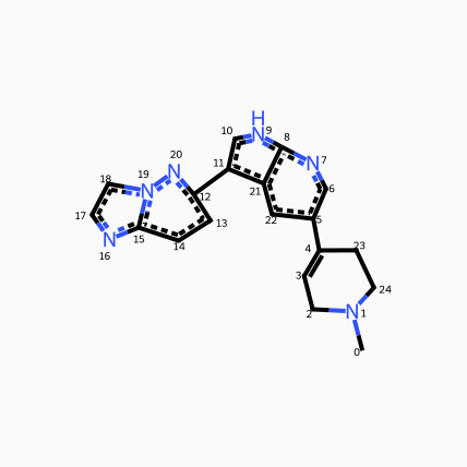 CN1CC=C(c2cnc3[nH]cc(-c4ccc5nccn5n4)c3c2)CC1